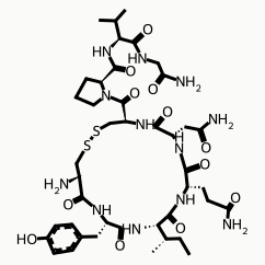 CC[C@H](C)[C@@H]1NC(=O)[C@H](Cc2ccc(O)cc2)NC(=O)[C@@H](N)CSSC[C@@H](C(=O)N2CCC[C@H]2C(=O)N[C@H](C(=O)NCC(N)=O)C(C)C)NC(=O)[C@H](CC(N)=O)NC(=O)[C@H](CCC(N)=O)NC1=O